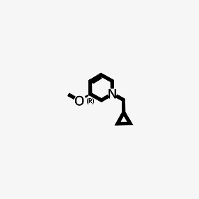 CO[C@@H]1C=CCN(CC2CC2)C1